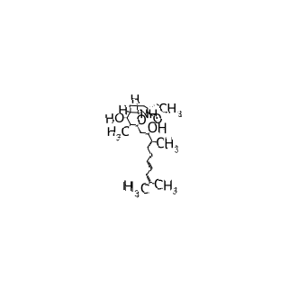 CC[C@H]1C[C@@H]2C[C@H]3[C@@H](O)[C@@H](C)[C@H](C[C@H](O)[C@@H](C)CC/C=C/C=C(C)C)O[C@]23NC1=O